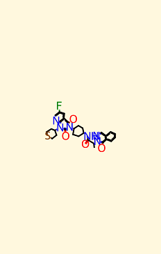 CC(C(=O)N[C@H]1CC[C@@H](n2c(=O)c3cc(F)cnc3n(C3CCSCC3)c2=O)CC1)n1ncc2ccccc2c1=O